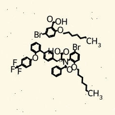 CCCCCCCOc1ccc(Br)cc1C(=O)O.CCCCCCCOc1ccc(Br)cc1N(C(=O)c1ccccc1)[C@@H](Cc1ccc(-c2ccccc2Oc2ccc(C(F)(F)F)cc2)cc1)C(=O)O